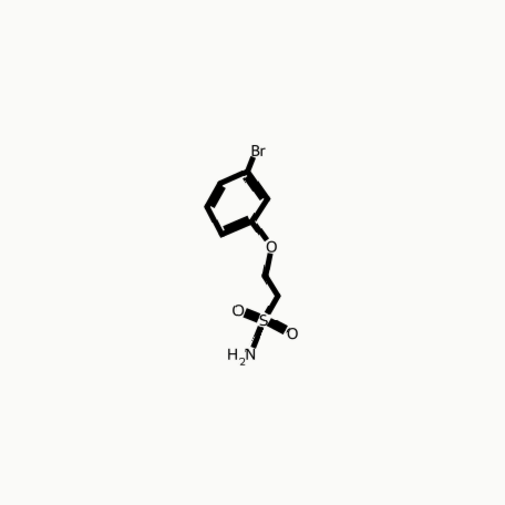 NS(=O)(=O)CCOc1cccc(Br)c1